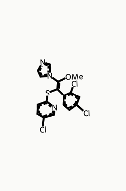 COC(=C(Sc1ccc(Cl)cn1)c1ccc(Cl)cc1Cl)n1ccnc1